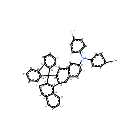 CC(C)c1ccc(N(c2ccc(F)cc2)c2ccc3cc4c(cc3c2)C2(c3ccccc3-c3ccccc32)c2ccc3ccccc3c2-4)cc1